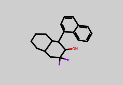 OC1C(c2cccc3ccccc23)C2CCCCC2CC1(I)I